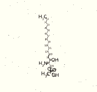 CCCCCCCCCCCCC/C=C/[C@@H](O)[C@@H](N)COP(C)(=O)O